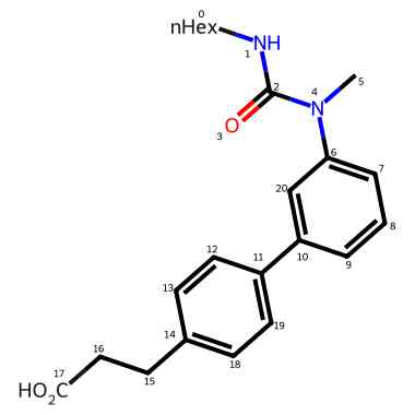 CCCCCCNC(=O)N(C)c1cccc(-c2ccc(CCC(=O)O)cc2)c1